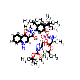 CC(C)OC(=O)[C@H](C)NP(=O)(OCCNC(=O)OC(C)(C)C)Oc1cc(NC(=O)c2c[nH]c3ccccc3c2=O)c(C(C)(C)C)cc1C(C)(C)C